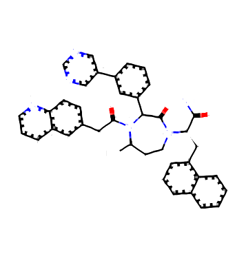 CC1CCN([C@H](Cc2cccc3ccccc23)C(N)=O)C(=O)C(c2cccc(-c3cncnc3)c2)N1C(=O)Cc1ccc2ncccc2c1